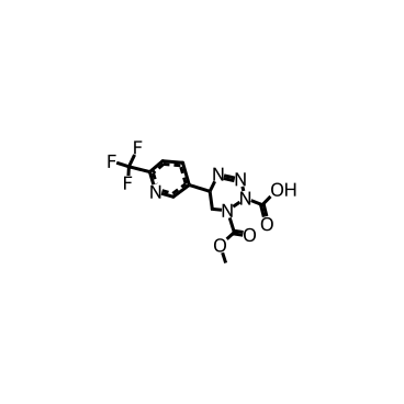 COC(=O)N1CC(c2ccc(C(F)(F)F)nc2)N=NN1C(=O)O